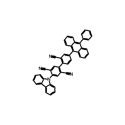 N#Cc1cc(-c2c3ccccc3c(-c3ccccc3)c3ccccc23)ccc1-c1cc(C#N)c(-n2c3ccccc3c3ccccc32)cc1C#N